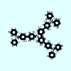 c1ccc(N(c2ccccc2)c2ccc(-c3ccc(-n4c5ccc(-c6ccc(N(c7ccccc7)c7ccccc7)cc6)cc5c5cc(-c6ccc(N(c7ccccc7)c7ccccc7)cc6)ccc54)cc3)cc2)cc1